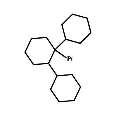 CC(C)C1(C2CCCCC2)CCCCC1C1CCCCC1